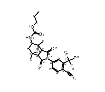 CCCOC(=O)NC1CC2(C)OC1(C)C1C(=O)N(c3ccc(C#N)c(C(F)(F)F)c3)C(=O)C12